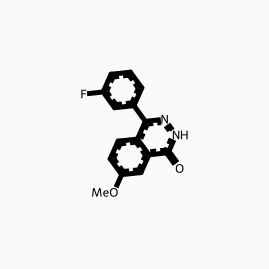 COc1ccc2c(-c3cccc(F)c3)n[nH]c(=O)c2c1